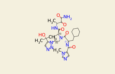 CC(NC(=O)[C@@H]1C[C@H](n2nncc2C(C)(C)O)CN1C(=O)/C(CC1CCCCC1)=N/C(=O)c1cncn1C)C(=O)C(N)=O